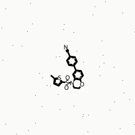 Cc1ccc(S(=O)(=O)N2CCOc3ccc(-c4ccc(C#N)cc4)cc32)s1